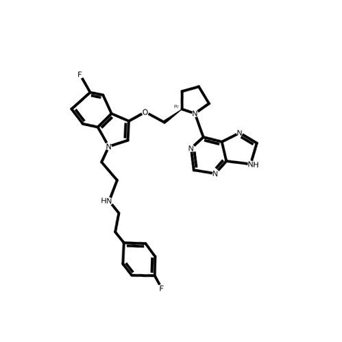 Fc1ccc(CCNCCn2cc(OC[C@H]3CCCN3c3ncnc4[nH]cnc34)c3cc(F)ccc32)cc1